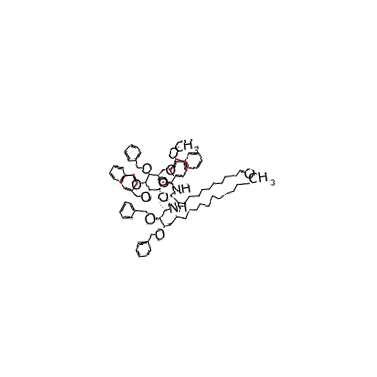 CCCCCCCCCCCCCC[C@@H](OCc1ccccc1)[C@@H](OCc1ccccc1)[C@H](CO[C@H]1O[C@H](COCc2ccccc2)[C@H](OCc2ccccc2)[C@H](OCc2ccccc2)[C@H]1OCc1ccccc1)NC(CCCCCCCCCC=O)CNC(=O)c1cccc(OC)c1